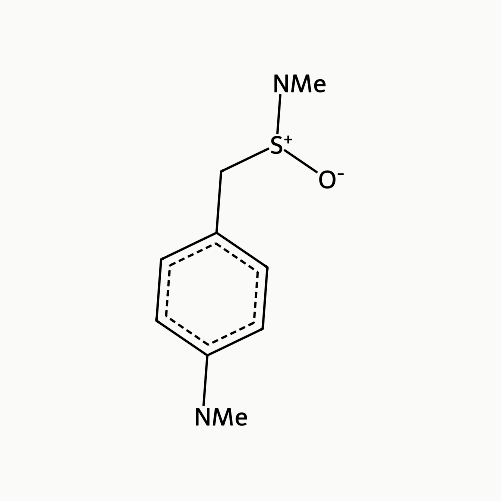 CNc1ccc(C[S+]([O-])NC)cc1